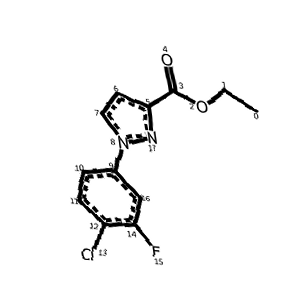 CCOC(=O)c1ccn(-c2ccc(Cl)c(F)c2)n1